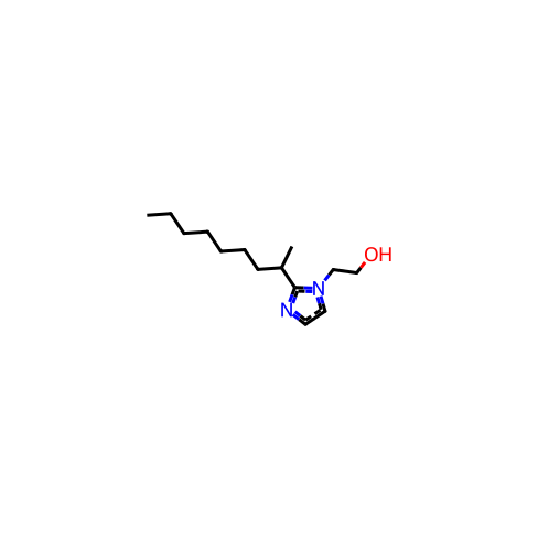 CCCCCCCC(C)c1nccn1CCO